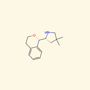 CC1(C)CN[C@@H]([C@H]2OCCc3ccccc32)C1